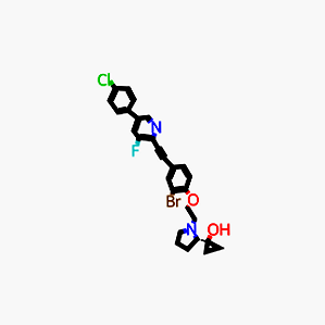 OC1([C@@H]2CCCN2CCOc2ccc(C#Cc3ncc(-c4ccc(Cl)cc4)cc3F)cc2Br)CC1